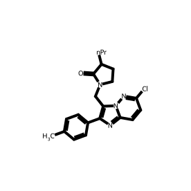 CCCC1CCN(Cc2c(-c3ccc(C)cc3)nc3ccc(Cl)nn23)C1=O